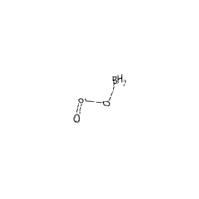 BO[O+]=O